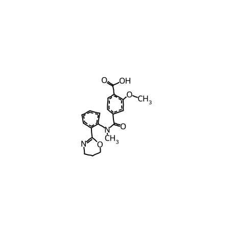 COc1cc(C(=O)N(C)c2ccccc2C2=NCCCO2)ccc1C(=O)O